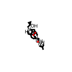 Cc1cnn(CCN2CCC34CCN(CC5(O)CC5)C(Cc5ccc(O)cc53)C4(O)CC2)c1